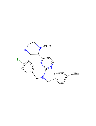 CC(C)COc1ccc(CN(Cc2ccc(F)cc2)c2nccc(C3CNCCN3C=O)n2)cc1